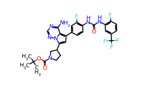 CC(C)(C)OC(=O)N1CCC(c2cc(-c3ccc(NC(=O)Nc4cc(C(F)(F)F)ccc4F)c(F)c3)c3c(N)ncnn23)C1